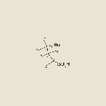 CC(C(C)(C)C(C)(C)C(C)(C)C)S(=O)(=O)O